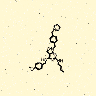 CCCCNc1nc(NCc2ccc(OC)cc2)c2cnn(Cc3ccc(CN4CCCC4)cc3)c2n1